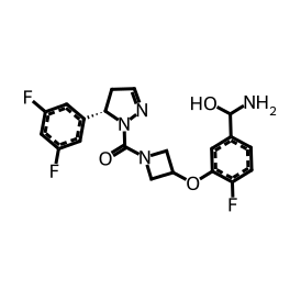 NC(O)c1ccc(F)c(OC2CN(C(=O)N3N=CC[C@H]3c3cc(F)cc(F)c3)C2)c1